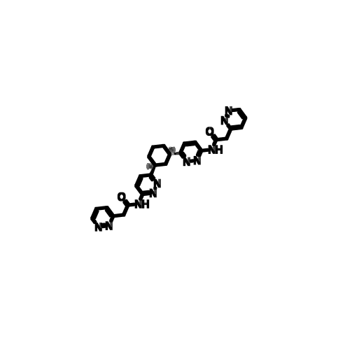 O=C(Cc1cccnn1)Nc1ccc([C@H]2CCC[C@H](c3ccc(NC(=O)Cc4cccnn4)nn3)C2)nn1